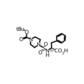 CC(C)(C)OC(=O)N1CCN(S(=O)(=O)N[C@@H](Cc2ccccc2)C(=O)O)CC1